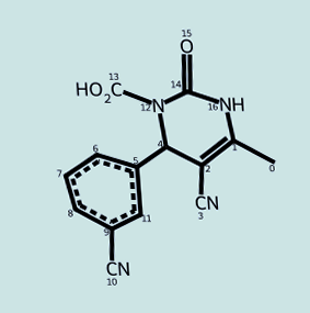 CC1=C(C#N)C(c2cccc(C#N)c2)N(C(=O)O)C(=O)N1